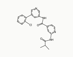 CC(C)C(=O)Nc1cc(C(=O)Nc2cncc(-c3ccccc3Cl)c2)ccn1